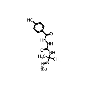 CC(C)(C)N=NC(C)(C)NC(=O)NNC(=O)c1ccc(C#N)cc1